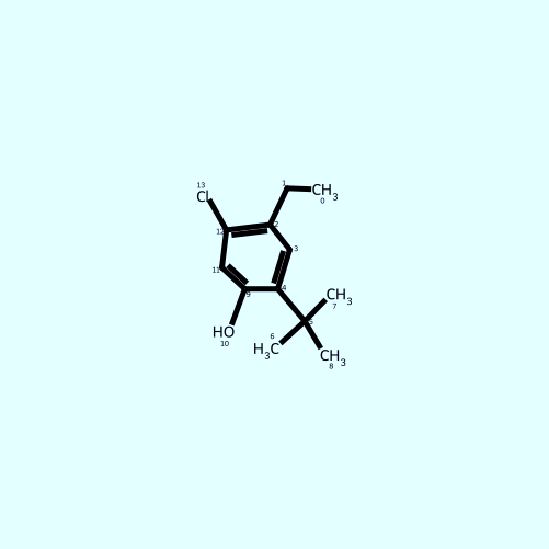 CCc1cc(C(C)(C)C)c(O)cc1Cl